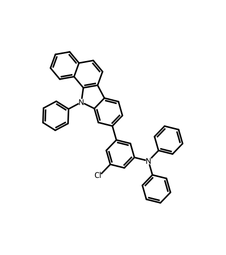 Clc1cc(-c2ccc3c4ccc5ccccc5c4n(-c4ccccc4)c3c2)cc(N(c2ccccc2)c2ccccc2)c1